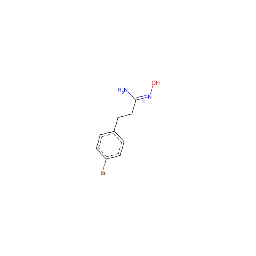 N/C(CCc1ccc(Br)cc1)=N\O